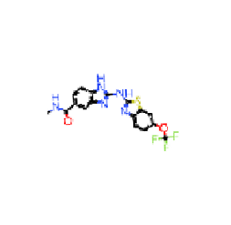 CNC(=O)c1ccc2[nH]c(Nc3nc4ccc(OC(F)(F)F)cc4s3)nc2c1